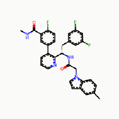 CNC(=O)c1cc(-c2cccnc2[C@H](Cc2cc(F)cc(F)c2)NC(=O)Cn2ccc3cc(C)ccc32)ccc1F